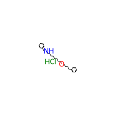 Cl.c1ccc(CCCCOCCCCCCCCNCc2ccccc2)cc1